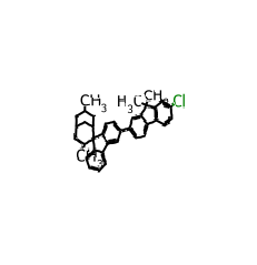 CC1CC2CC(C)C3(c4ccccc4-c4cc(-c5ccc6c(c5)C(C)(C)c5cc(Cl)ccc5-6)ccc43)C(C1)C2